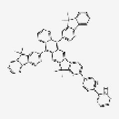 CC1(C)c2ccccc2-c2ccc(-c3c4ccccc4c(-c4ccc5c(c4)C(C)(C)c4ccccc4-5)c4cc5c(cc34)-c3ccc(-c4ccc(C6=CC=CCN6)nc4)cc3C5(C)C)cc21